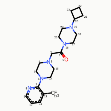 O=C(CN1CCN(c2ncccc2C(F)(F)F)CC1)N1CCN(C2CCC2)CC1